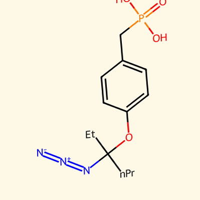 CCCC(CC)(N=[N+]=[N-])Oc1ccc(CP(=O)(O)O)cc1